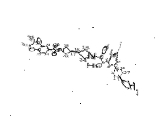 CN1CCN(c2cccc(C(O)C(=O)N3CC(=C4CN(S(=O)(=O)c5ccc6c(c5)OCCO6)C4)C3)c2)CC1